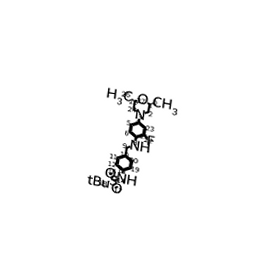 C[C@@H]1CN(c2ccc(NCc3ccc(NS(=O)(=O)C(C)(C)C)cc3)c(F)c2)C[C@H](C)O1